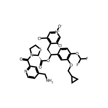 NCc1ccnc(C(=O)N2CCS[C@@H]2C(=O)O[C@@H](Cc2c(Cl)c[n+]([O-])cc2Cl)c2ccc(OC(F)F)c(OCC3CC3)c2)c1